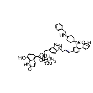 CC(C)(C)[Si](C)(C)O[C@H](CNCc1ccc2c(c1)nnn2C/C=C/c1ccc(-c2ccccc2)c(N(C(=O)O)C2CCC(NCc3ccccc3)CC2)c1)c1ccc(O)c2[nH]c(=O)ccc12